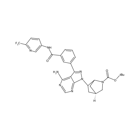 CC(C)(C)OC(=O)N1C[C@@H]2CC1C(n1nc(-c3cccc(C(=O)Nc4ccc(C(F)(F)F)nc4)c3)c3c(N)ncnc31)C2